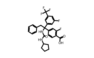 O=C(NC1CCCC1)NC(Cc1ccccc1)(c1cc(F)cc(C(F)(F)F)c1)c1ccc(C(=O)O)c(F)c1